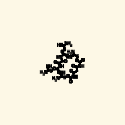 N=C(N)SOC(=O)NC(=O)C(=O)NC(=O)OSC(=N)N.N=C(N)SOC(=O)NC(=O)CC(=O)NC(=O)OSC(=N)N